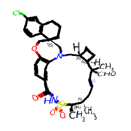 C[C@@H]1[C@@H](C)C/C=C/C(C)(C=O)[C@@H]2CC[C@H]2CN2C[C@@]3(CCCc4cc(Cl)ccc43)COc3ccc(cc32)C(=O)NS1(=O)=O